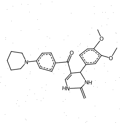 C=C1NC=C(C(=O)c2ccc(N3CCCCC3)cc2)C(c2ccc(OC)c(OC)c2)N1